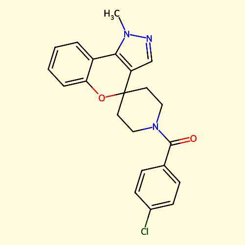 Cn1ncc2c1-c1ccccc1OC21CCN(C(=O)c2ccc(Cl)cc2)CC1